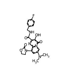 CN(C)c1cc(N2CCOC2=O)c2nc(C(=O)NCc3ccc(F)cc3)c(O)c(=O)n2c1